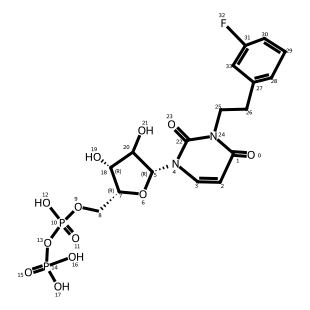 O=c1ccn([C@@H]2O[C@H](COP(=O)(O)OP(=O)(O)O)[C@H](O)C2O)c(=O)n1CCc1cccc(F)c1